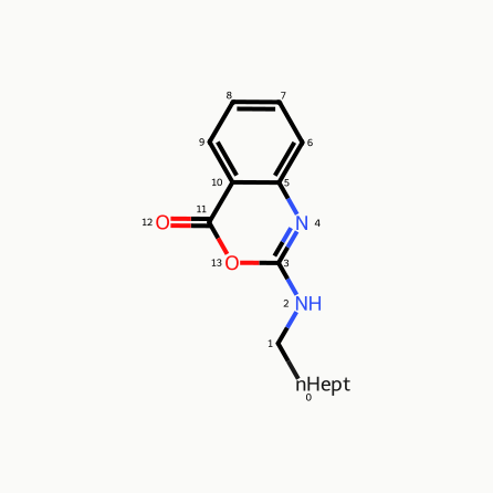 CCCCCCCCNc1nc2ccccc2c(=O)o1